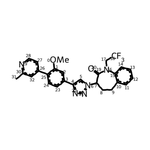 COc1cc(-c2cn(C3CCc4ccccc4N(CC(F)(F)F)C3=O)nn2)ccc1-c1ccnc(C)c1